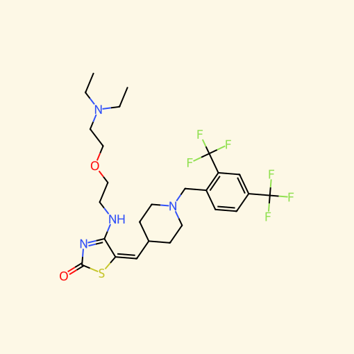 CCN(CC)CCOCCNC1=NC(=O)SC1=CC1CCN(Cc2ccc(C(F)(F)F)cc2C(F)(F)F)CC1